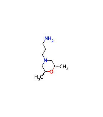 C[C@H]1CN(CCCN)C[C@H](C)O1